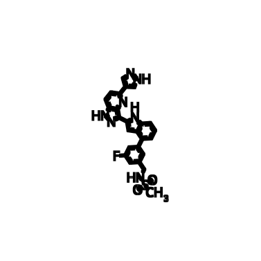 CS(=O)(=O)NCc1cc(F)cc(-c2cccc3[nH]c(-c4n[nH]c5ccc(-c6cn[nH]c6)nc45)cc23)c1